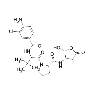 CC(C)(C)C(NC(=O)c1ccc(N)c(Cl)c1)C(=O)N1CCC[C@H]1C(=O)N[C@H]1CC(=O)O[C@H]1O